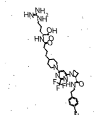 N#Cc1ccc(CCNC(=O)[C@@H]2CCN2c2cc(N3CCC(CCCC(=O)N[C@@H](CCCNC(=N)N)C(=O)O)CC3)nc(C(F)(F)F)n2)cc1